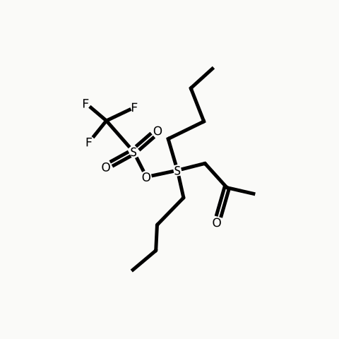 CCCCS(CCCC)(CC(C)=O)OS(=O)(=O)C(F)(F)F